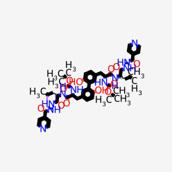 CC(C)C[C@H](NC(=O)C(Cc1ccc(O)c(-c2cc(CC(NC(=O)OC(C)(C)C)C(=O)N[C@@H](CC(C)I)C(=O)NNC(=O)c3ccncc3)ccc2O)c1)NC(=O)OC(C)(C)C)C(=O)NNC(=O)c1ccncc1